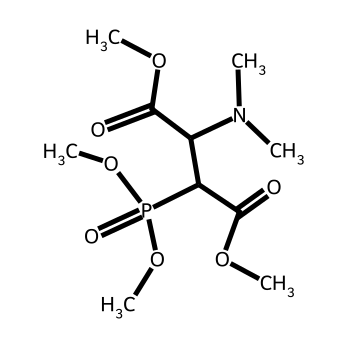 COC(=O)C(C(C(=O)OC)P(=O)(OC)OC)N(C)C